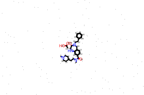 CN1CCC(CCN(C)C(=O)c2ccc3c(c2)N[C@H](CC(=O)O)C(=O)N(CCc2ccccc2)C3)CC1